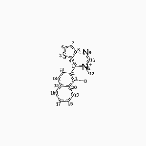 Cc1c(-c2c3sccc3nc[n+]2C)ccc2ccccc12